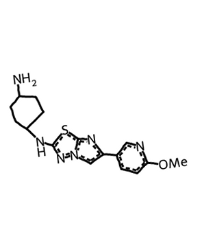 COc1ccc(-c2cn3nc(NC4CCC(N)CC4)sc3n2)cn1